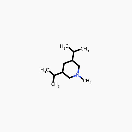 CC(C)C1CC(C(C)C)CN(C)C1